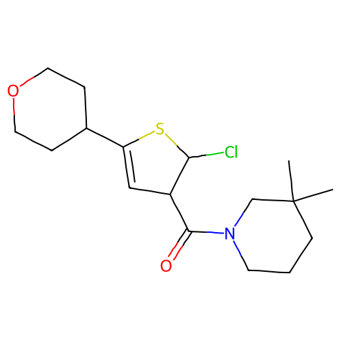 CC1(C)CCCN(C(=O)C2C=C(C3CCOCC3)SC2Cl)C1